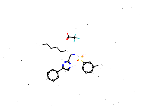 CC(=O)CCCCC[C@H](NS(=O)(=O)c1cccc(C#N)c1)c1ncc(-c2ccccc2)[nH]1.O=C(O)C(F)(F)F